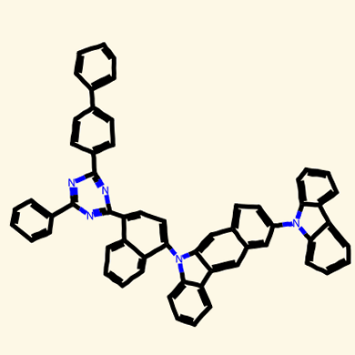 c1ccc(-c2ccc(-c3nc(-c4ccccc4)nc(-c4ccc(-n5c6ccccc6c6cc7cc(-n8c9ccccc9c9ccccc98)ccc7cc65)c5ccccc45)n3)cc2)cc1